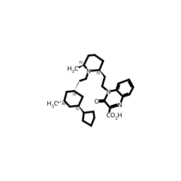 C[C@@H]1C[C@H](CCN2[C@H](CCn3c(=O)c(C(=O)O)nc4ccccc43)CCC[C@@H]2C)C[C@@H](C2CCCC2)C1